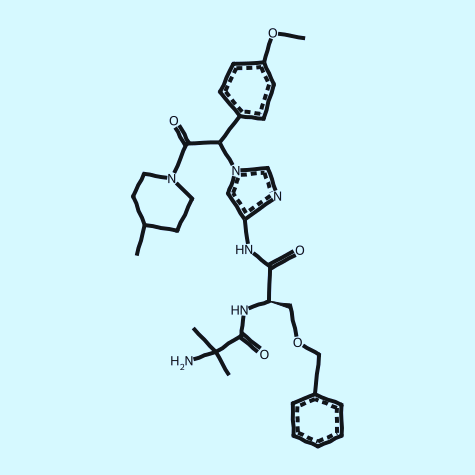 COc1ccc(C(C(=O)N2CCC(C)CC2)n2cnc(NC(=O)[C@@H](COCc3ccccc3)NC(=O)C(C)(C)N)c2)cc1